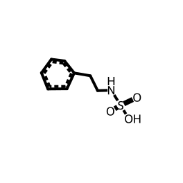 O=S(=O)(O)NCCc1ccccc1